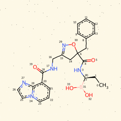 CC[C@H](NC(=O)C1(Cc2ccccc2)CC(CNC(=O)c2cccn3ccnc23)=NO1)B(O)O